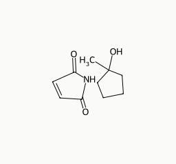 CC1(O)CCCC1.O=C1C=CC(=O)N1